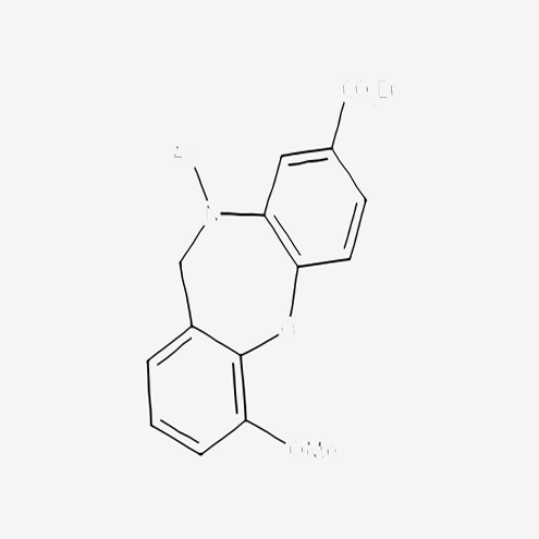 CCOC(=O)c1ccc2c(c1)N(C(C)=O)Cc1cccc(OC)c1O2